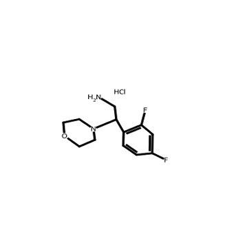 Cl.NCC(c1ccc(F)cc1F)N1CCOCC1